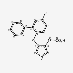 Cc1ccc(Cn2cncc2OC(=O)O)c(-c2ccccc2)c1